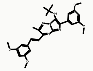 COc1cc(/C=C/c2nc3nc(-c4cc(OC)cc(OC)c4)c(NC(C)(C)C)n3nc2C)cc(OC)c1